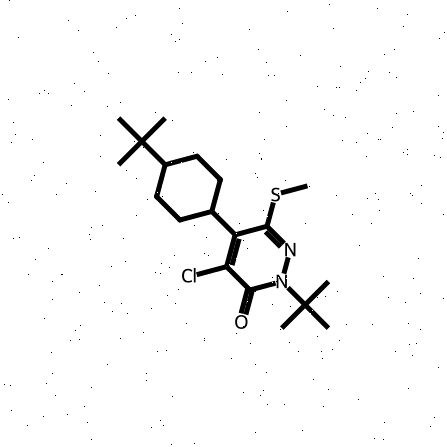 CSc1nn(C(C)(C)C)c(=O)c(Cl)c1C1CCC(C(C)(C)C)CC1